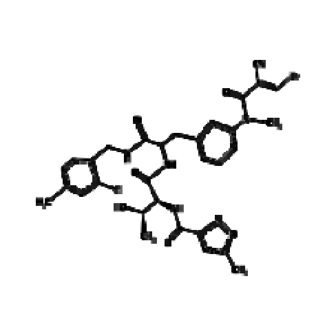 Cc1ccc(CNC(=O)C(Cc2cccc(N(C)C(=O)C(C#N)=CC(C)C)c2)NC(=O)[C@@H](NC(=O)c2cc(C)on2)[C@@H](C)O)c(Cl)c1